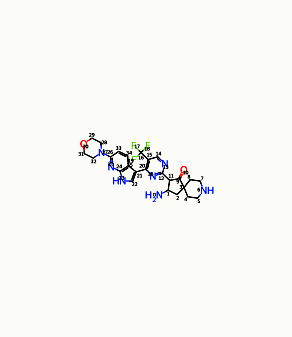 NC1CC2(CCNCC2)C(=O)C1c1ncc(C(F)(F)F)c(-c2c[nH]c3nc(N4CCOCC4)ccc23)n1